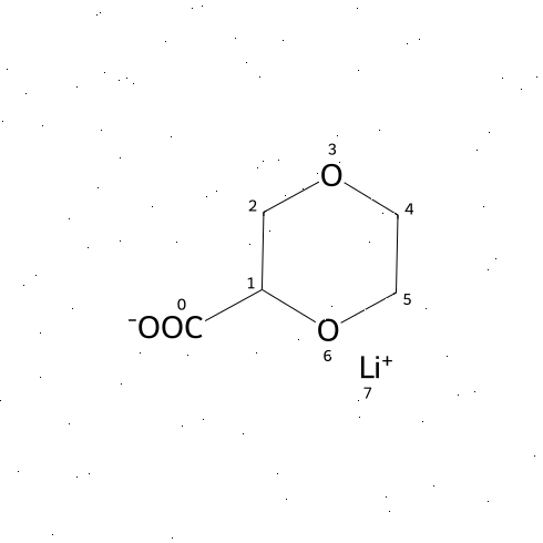 O=C([O-])C1COCCO1.[Li+]